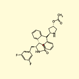 CC(=O)O[C@@H]1CN[C@@H](C(c2ccccc2)c2ccccc2[C@@H]2OC(=O)N[C@H]2Cc2cc(F)cc(F)c2)C1